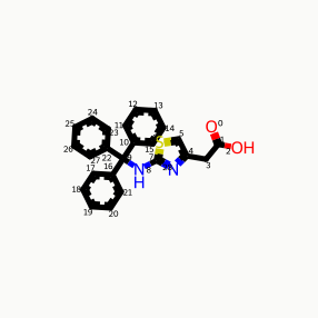 O=C(O)Cc1csc(NC(c2ccccc2)(c2ccccc2)c2ccccc2)n1